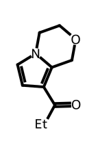 CCC(=O)c1ccn2c1COCC2